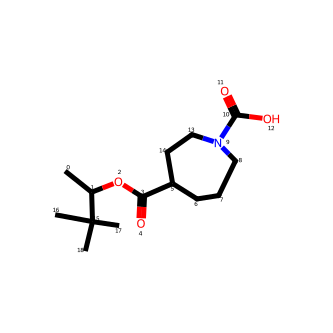 CC(OC(=O)C1CCCN(C(=O)O)CC1)C(C)(C)C